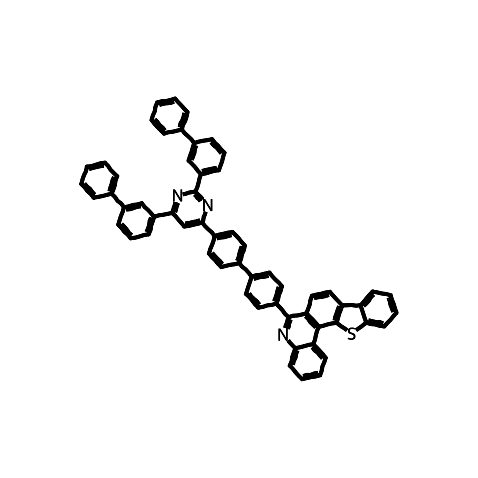 c1ccc(-c2cccc(-c3cc(-c4ccc(-c5ccc(-c6nc7ccccc7c7c6ccc6c8ccccc8sc67)cc5)cc4)nc(-c4cccc(-c5ccccc5)c4)n3)c2)cc1